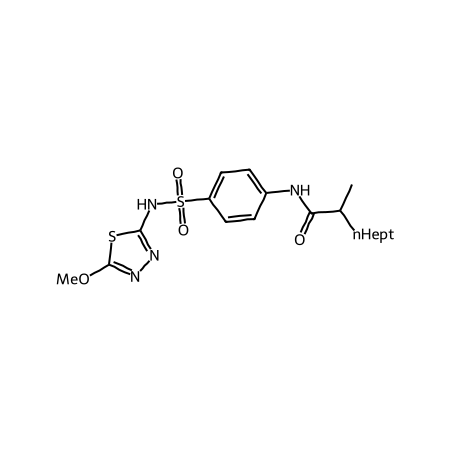 CCCCCCCC(C)C(=O)Nc1ccc(S(=O)(=O)Nc2nnc(OC)s2)cc1